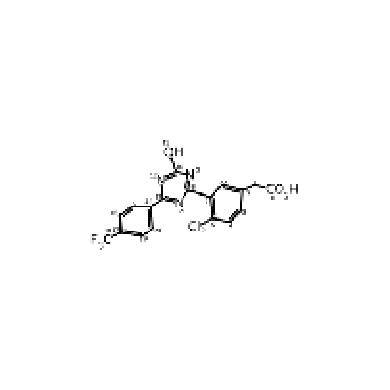 O=C(O)Cc1ccc(Cl)c(-c2nc(O)nc(-c3ccc(C(F)(F)F)cc3)n2)c1